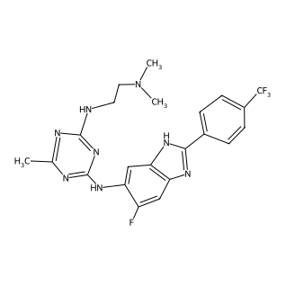 Cc1nc(NCCN(C)C)nc(Nc2cc3[nH]c(-c4ccc(C(F)(F)F)cc4)nc3cc2F)n1